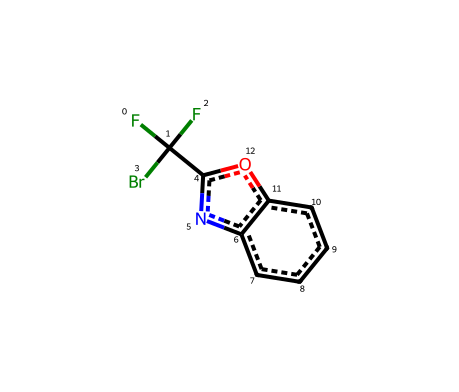 FC(F)(Br)c1nc2ccccc2o1